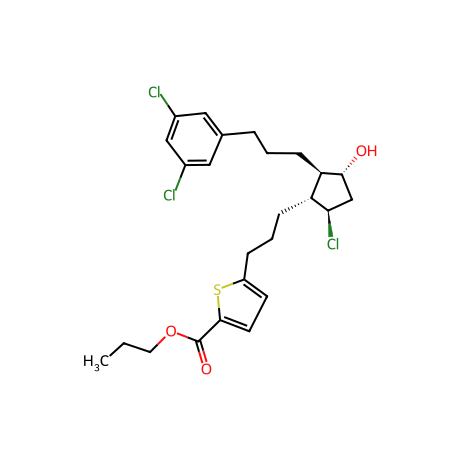 CCCOC(=O)c1ccc(CCC[C@@H]2[C@@H](CCCc3cc(Cl)cc(Cl)c3)[C@H](O)C[C@H]2Cl)s1